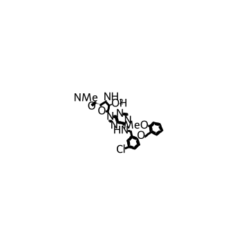 CNC(=O)[C@H]1O[C@@H](n2cnc3c(NCc4cc(Cl)ccc4OCc4ccccc4OC)ncnc32)[C@H](O)[C@@H]1N